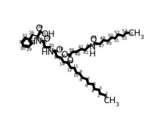 CCCCCCCCCCCCCCCC(CC(=O)NCCC(=O)N[C@@H](Cc1ccccc1)C(=O)O)OC(=O)CCCCCNC(=O)CCCCCCCCC